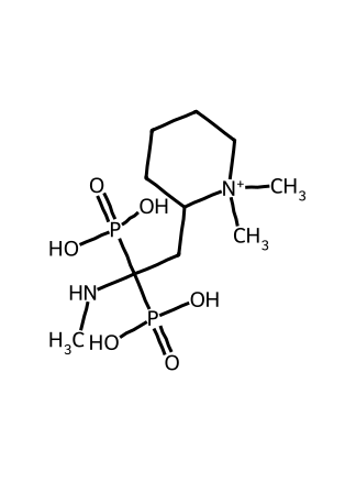 CNC(CC1CCCC[N+]1(C)C)(P(=O)(O)O)P(=O)(O)O